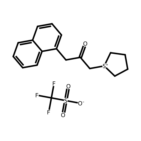 O=C(Cc1cccc2ccccc12)C[S+]1CCCC1.O=S(=O)([O-])C(F)(F)F